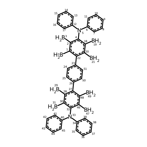 Bc1c(B)c(N(c2ccccc2)c2ccccc2)c(B)c(B)c1-c1ccc(-c2c(B)c(B)c(N(c3ccccc3)c3ccccc3)c(B)c2B)cc1